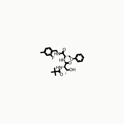 Cc1ccc(CNC(=O)[C@H](COc2ccccc2)NC(=O)[C@@H](NC(=O)C(C)(C)C)[C@@H](C)O)c(F)c1